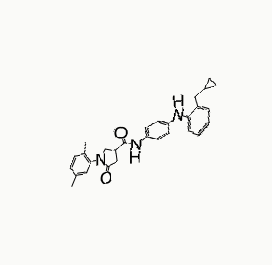 Cc1ccc(C)c(N2CC(C(=O)Nc3ccc(Nc4ccccc4CC4CC4)cc3)CC2=O)c1